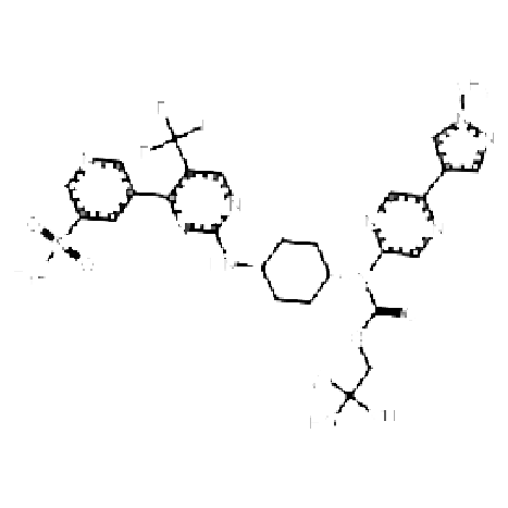 Cn1cc(-c2cnc(N(C(=O)OCC(C)(C)O)[C@H]3CC[C@H](Nc4ncc(C(F)(F)F)c(-c5cncc(S(C)(=O)=O)c5)n4)CC3)cn2)cn1